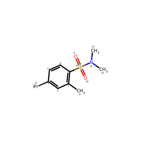 Cc1cc(C(C)C)ccc1S(=O)(=O)N(C)C